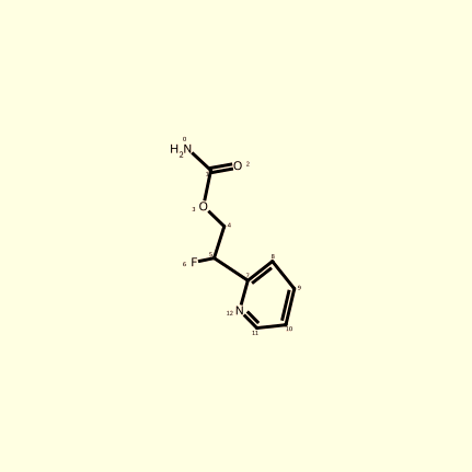 NC(=O)OCC(F)c1ccccn1